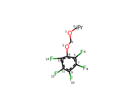 CC(C)OCOc1c(F)c(F)c(F)c(F)c1F